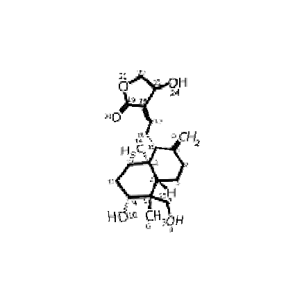 C=C1CC[C@@H]2[C@](C)(CO)[C@H](O)CC[C@@]2(C)[C@@H]1C/C=C1\C(=O)OCC1O